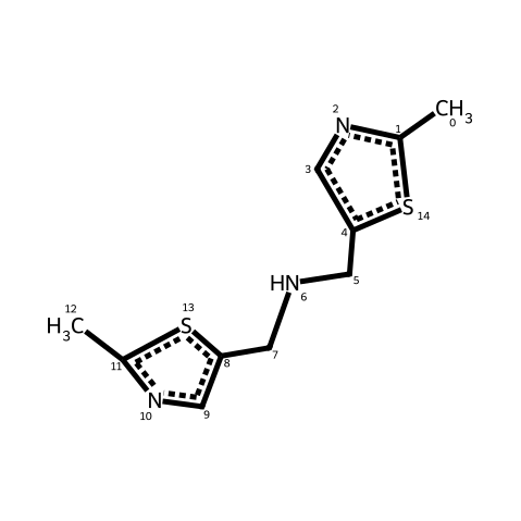 Cc1ncc(CNCc2cnc(C)s2)s1